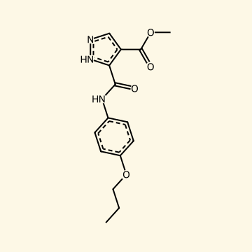 CCCOc1ccc(NC(=O)c2[nH]ncc2C(=O)OC)cc1